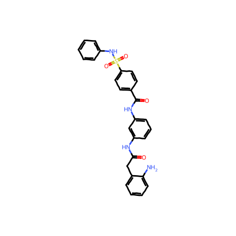 Nc1ccccc1CC(=O)Nc1cccc(NC(=O)c2ccc(S(=O)(=O)Nc3ccccc3)cc2)c1